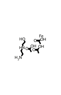 CC(=O)O.CC(=O)O.CC(=O)O.NCCNCCO.[Fe]